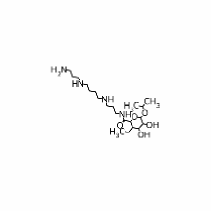 CCC1C(C(=O)NCCCNCCCCNCCCN)OC(OC(C)C)C(O)C1O